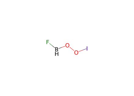 FBOOI